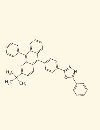 CC(C)(C)c1ccc2c(-c3ccc(-c4nnc(-c5ccccc5)o4)cc3)c3ccccc3c(-c3ccccc3)c2c1